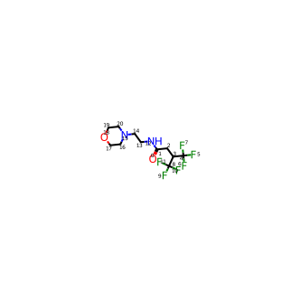 O=C(CC(C(F)(F)F)C(F)(F)F)NCCN1CCOCC1